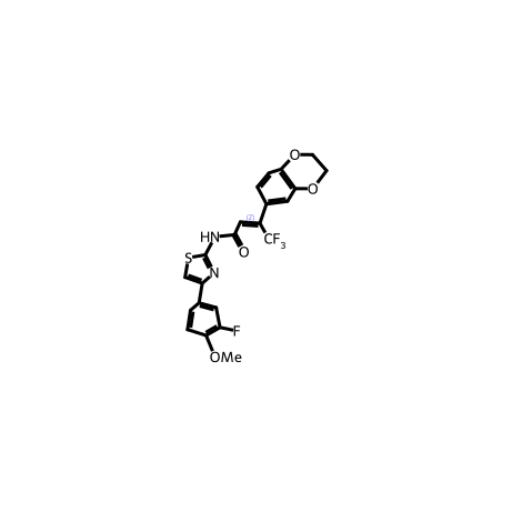 COc1ccc(-c2csc(NC(=O)/C=C(/c3ccc4c(c3)OCCO4)C(F)(F)F)n2)cc1F